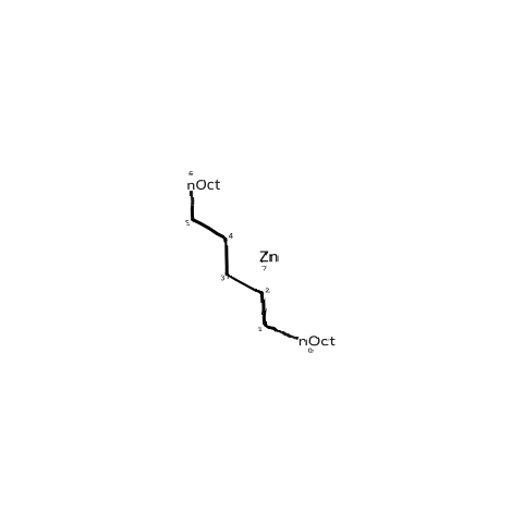 CCCCCCCCCC[CH]CCCCCCCCCC.[Zn]